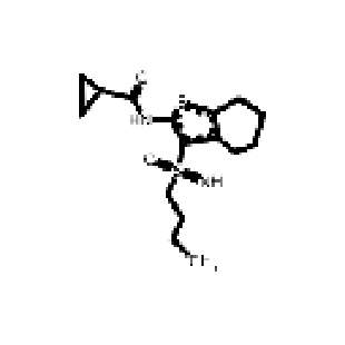 CCCCS(=N)(=O)c1c(NC(=O)C2CC2)sc2c1CCCC2